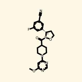 COc1cc(N2CCC(C(=O)N3OCC[C@H]3c3cc(F)cc(C#N)c3)CC2)ncn1